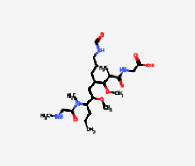 CCCC(C(CC(CCCNC=O)C(OC)C(C)C(=O)NCC(=O)O)OC)N(C)C(=O)CNC